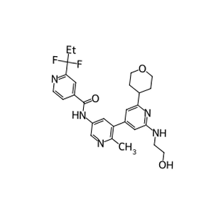 CCC(F)(F)c1cc(C(=O)Nc2cnc(C)c(-c3cc(NCCO)nc(C4CCOCC4)c3)c2)ccn1